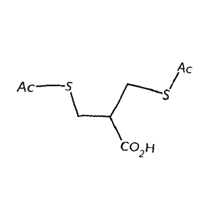 CC(=O)SCC(CSC(C)=O)C(=O)O